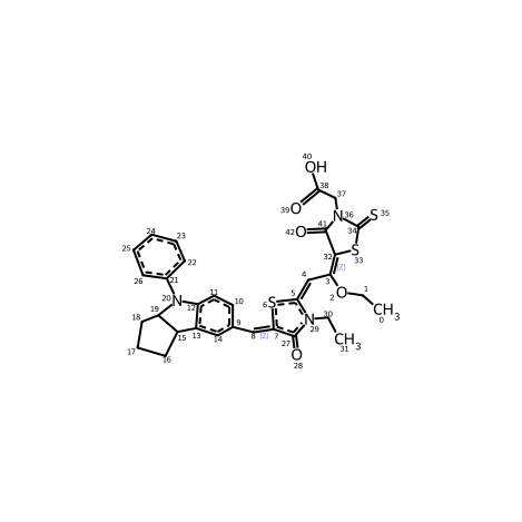 CCO/C(C=c1s/c(=C\c2ccc3c(c2)C2CCCC2N3c2ccccc2)c(=O)n1CC)=C1\SC(=S)N(CC(=O)O)C1=O